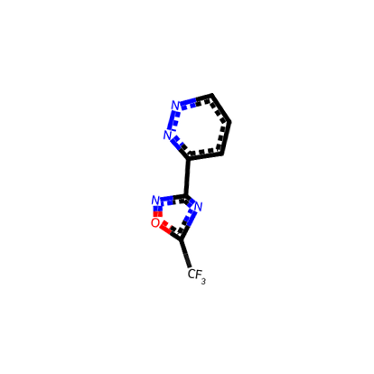 FC(F)(F)c1nc(-c2cccnn2)no1